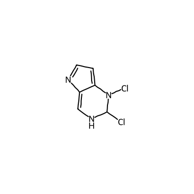 ClC1NC=C2N=CC=C2N1Cl